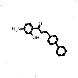 Nc1ccc(C(=O)C=Cc2ccc(-c3ccccc3)cc2)c(O)c1